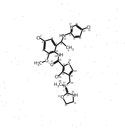 COc1cc(Cl)cc(C(C)Nc2ccc(Cl)cn2)c1NC(=O)c1scc(C/[N+](C)=C2\NCCO2)c1Cl